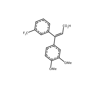 COc1ccc(C(=CC(=O)O)c2cccc(C(F)(F)F)c2)cc1OC